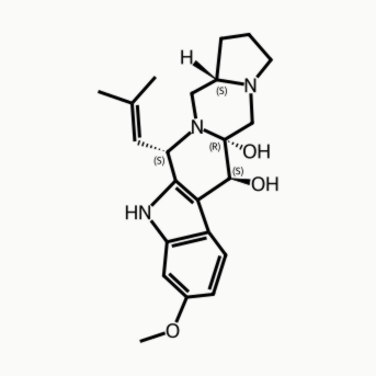 COc1ccc2c3c([nH]c2c1)[C@H](C=C(C)C)N1C[C@@H]2CCCN2C[C@@]1(O)[C@H]3O